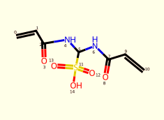 C=CC(=O)NC(NC(=O)C=C)S(=O)(=O)O